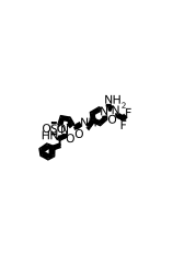 CS(=O)(=O)N[C@H](Cc1ccccc1)C(=O)N1CCC[C@H]1C(=O)NCC1CCN(/C(N)=N\C(=O)C(F)F)CC1